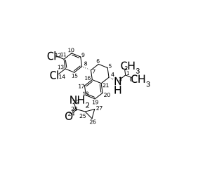 CC(C)N[C@H]1CC[C@@H](c2ccc(Cl)c(Cl)c2)c2ccccc21.NC(=O)C1CC1